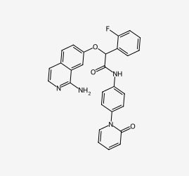 Nc1nccc2ccc(OC(C(=O)Nc3ccc(-n4ccccc4=O)cc3)c3ccccc3F)cc12